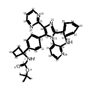 CC(C)(C)OC(=O)NC1(c2ccc(-c3c(-c4ncccn4)nc4n3-c3cccnc3Nc3ccccc3-4)cc2)CCC1